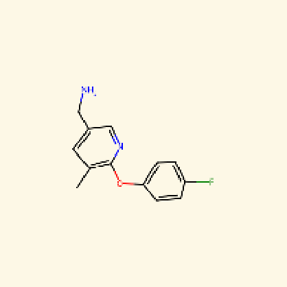 Cc1cc(CN)cnc1Oc1ccc(F)cc1